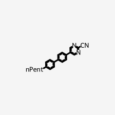 CCCCCc1ccc(-c2ccc(-c3cnc(C#N)nc3)cc2)cc1